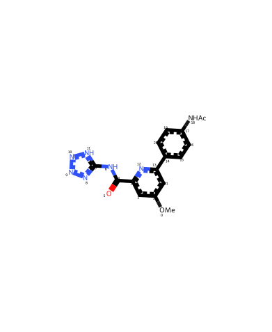 COc1cc(C(=O)Nc2nnn[nH]2)nc(-c2ccc(NC(C)=O)cc2)c1